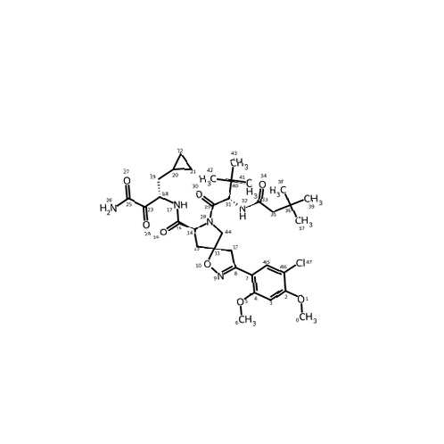 COc1cc(OC)c(C2=NO[C@]3(C2)C[C@@H](C(=O)N[C@@H](CC2CC2)C(=O)C(N)=O)N(C(=O)[C@@H](NC(=O)CC(C)(C)C)C(C)(C)C)C3)cc1Cl